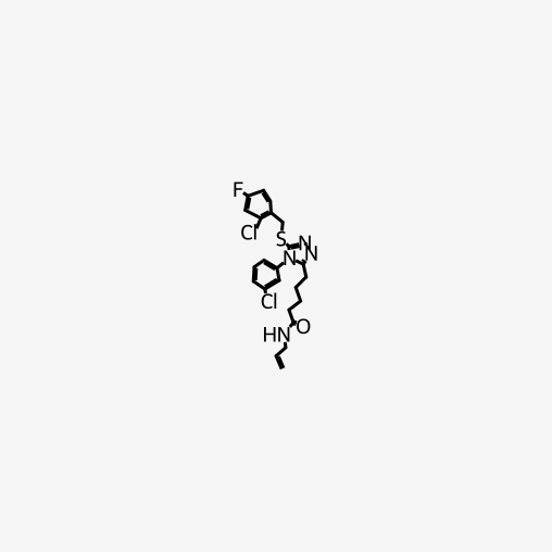 C=CCNC(=O)CCCCc1nnc(SCc2ccc(F)cc2Cl)n1-c1cccc(Cl)c1